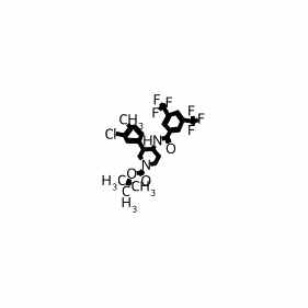 Cc1ccc(C2CN(C(=O)OC(C)(C)C)CCC2NC(=O)c2cc(C(F)(F)F)cc(C(F)(F)F)c2)cc1Cl